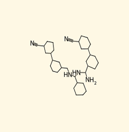 N#CC1CCCC(C2CCCC(CNC(NC(N)C3CCCC(C4CCCC(C#N)C4)C3)C3CCCCC3)C2)C1